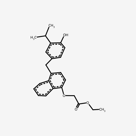 CCOC(=O)COc1ccc(Cc2ccc(O)c(C(C)C)c2)c2ccccc12